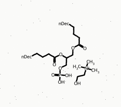 CCCCCCCCCCCCCC(=O)OCC(COP(=O)(O)O)OC(=O)CCCCCCCCCCCCC.C[N+](C)(C)CCO